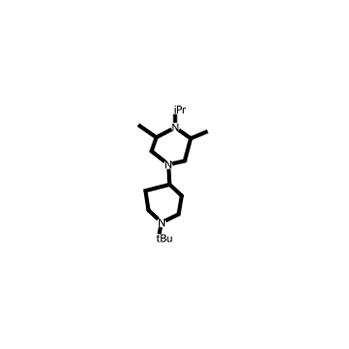 CC(C)N1C(C)CN(C2CCN(C(C)(C)C)CC2)CC1C